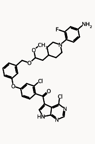 COC(CC1CCN(c2ccc(N)cc2F)CC1)OCc1cccc(Oc2ccc(C(=O)c3c[nH]c4ncnc(Cl)c34)c(Cl)c2)c1